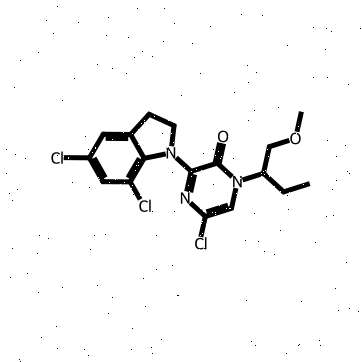 CCC(COC)n1cc(Cl)nc(N2CCc3cc(Cl)cc(Cl)c32)c1=O